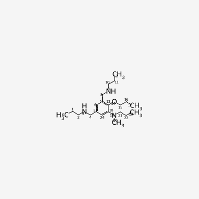 CCCNCc1cc(CNCCC)c(OCCC)c(N(C)CCC)c1